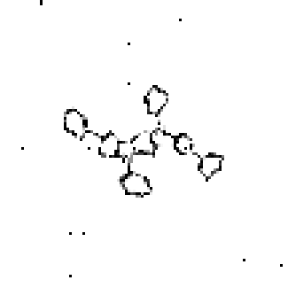 c1ccc(-c2ccc3c(c2)c2cc4c(cc2n3-c2ccccc2)c2cc(-c3ccccc3)ccc2n4-c2ccccc2)cc1